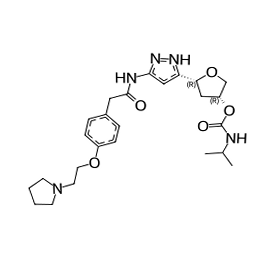 CC(C)NC(=O)O[C@H]1CO[C@@H](c2cc(NC(=O)Cc3ccc(OCCN4CCCC4)cc3)n[nH]2)C1